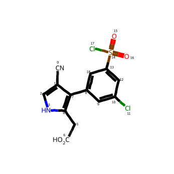 N#Cc1c[nH]c(CC(=O)O)c1-c1cc(Cl)cc(S(=O)(=O)Cl)c1